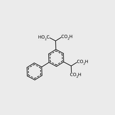 O=C(O)C(C(=O)O)c1cc(-c2ccccc2)cc(C(C(=O)O)C(=O)O)c1